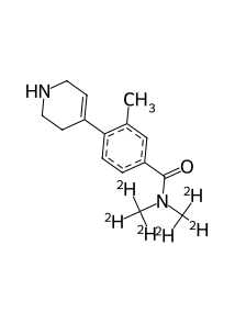 [2H]C([2H])([2H])N(C(=O)c1ccc(C2=CCNCC2)c(C)c1)C([2H])([2H])[2H]